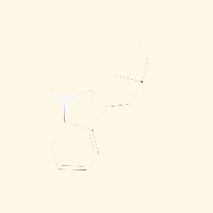 CCC(C)(C)Cc1cn(C)c2ccccc12